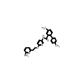 Cc1ccc(-c2ccc(C)cc2C(=O)Nc2ccc(OCCc3cccc(N)n3)nc2)cc1